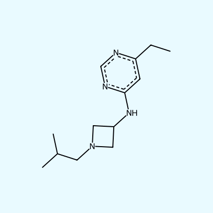 CCc1cc(NC2CN(CC(C)C)C2)ncn1